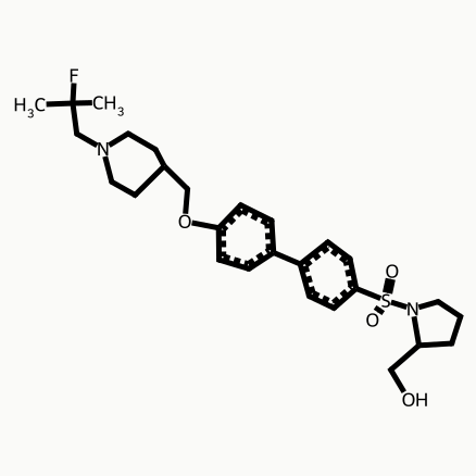 CC(C)(F)CN1CCC(COc2ccc(-c3ccc(S(=O)(=O)N4CCCC4CO)cc3)cc2)CC1